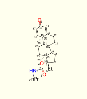 CCCNC(=O)O[C@@]1(CC)CCC2C3CCC4=CC(=O)C=C[C@]4(C)C3CC[C@@]21C